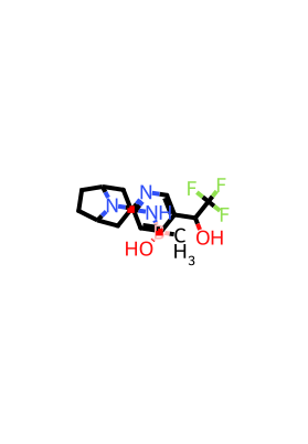 CB(O)NC1CC2CCC(C1)N2c1ccc(C(O)C(F)(F)F)cn1